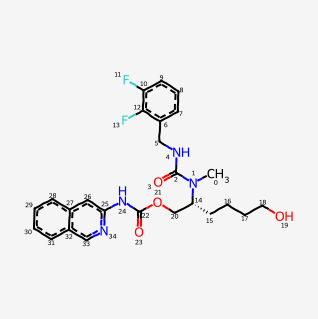 CN(C(=O)NCc1cccc(F)c1F)[C@H](CCCCO)COC(=O)Nc1cc2ccccc2cn1